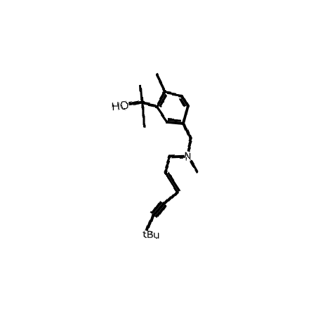 Cc1ccc(CN(C)C/C=C/C#CC(C)(C)C)cc1C(C)(C)O